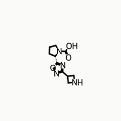 O=C(O)N1CCC[C@H]1c1nc(C2CNC2)no1